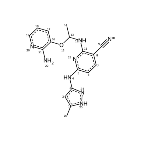 Cc1cc(Nc2ccc(C#N)c(NC(C)Oc3cccnc3N)n2)n[nH]1